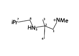 CNCC(C)(C)NCC(C)C